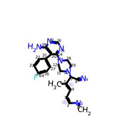 C=N/C=C\C=C(/C)C(C#N)N1CCN(c2ncnc(N)c2-c2ccc(F)cc2)CC1